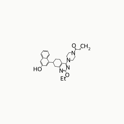 C=CC(=O)N1CCN(c2nc(OCC)nc3c2CCC(c2cc(O)cc4ccccc24)C3)CC1